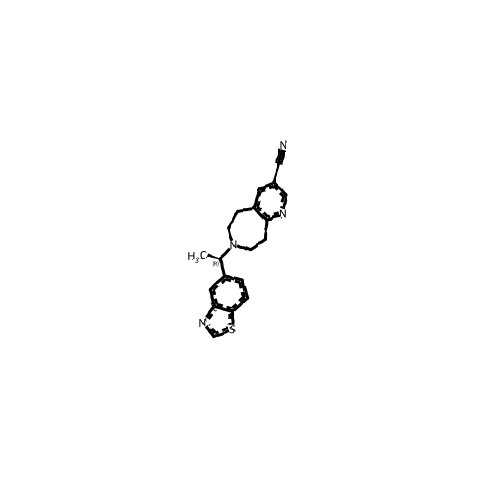 C[C@H](c1ccc2scnc2c1)N1CCc2cc(C#N)cnc2CC1